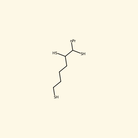 CCCC(S)C(S)CCCCS